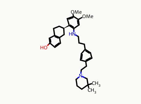 COc1cc(NCCCc2ccc(CCN3CCCC(C)(C)C3)cc2)c([C@@H]2CCc3cc(O)ccc3C2)cc1OC